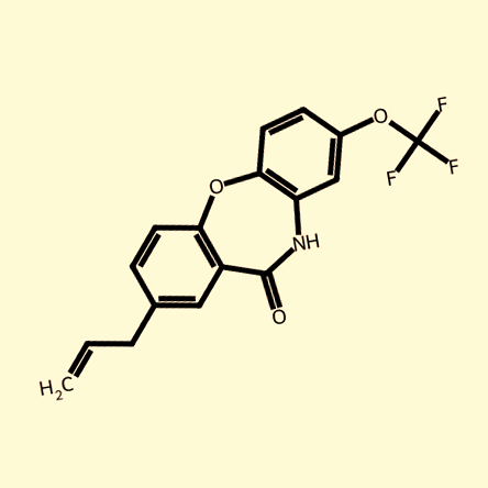 C=CCc1ccc2c(c1)C(=O)Nc1cc(OC(F)(F)F)ccc1O2